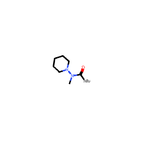 CCCCC(=O)N(C)N1CCCCC1